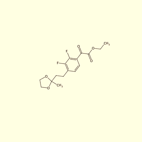 CCOC(=O)C(=O)c1ccc(CCC2(C)OCCO2)c(F)c1F